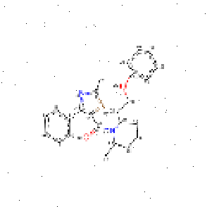 Cc1nc(-c2ccccc2)c(C(=O)N2C(C)CCCC2CCOc2ccccc2)s1